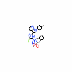 COC(=O)[C@@H]1Cc2ccccc2CN1Nc1nc(-c2cn(-c3ccc(C)cc3)c3ncccc23)ncc1F